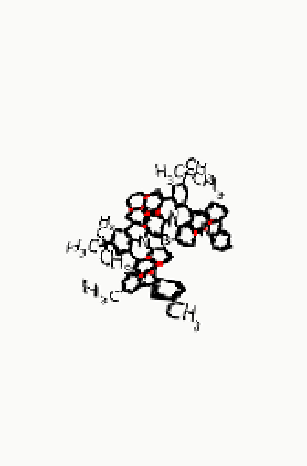 Cc1ccc2c(c1)c1cc(C)ccc1n2-c1ccc2c(c1)N(c1c(-c3ccccc3)cc(C(C)(C)C)cc1-c1ccccc1)c1cc(C3CCCCC3)cc3c1B2c1ccc(-n2c4ccccc4c4ccccc42)cc1N3c1c(-c2ccccc2)cc(C(C)(C)C)cc1-c1ccccc1